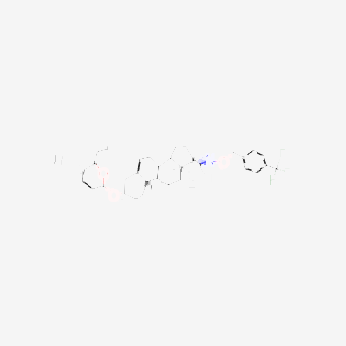 CC[C@H]1OC(O[C@H]2CC[C@@]3(C)C(=CCC4C3CC[C@@]3(C)C4CC[C@@H]3/C(C)=N/OCc3ccc(C(F)(F)F)cc3)C2)C=C[C@@H]1C